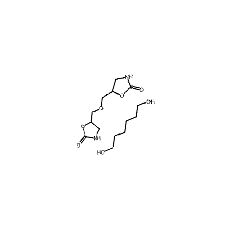 O=C1NCC(COCC2CNC(=O)O2)O1.OCCCCCCO